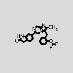 Cc1nc2cnc(-c3ccc4c(c3)NC(=O)C4)cn2c1Cc1ccccc1OC(F)F